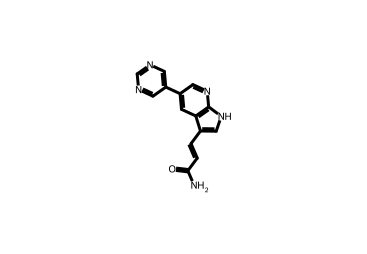 NC(=O)C=Cc1c[nH]c2ncc(-c3cncnc3)cc12